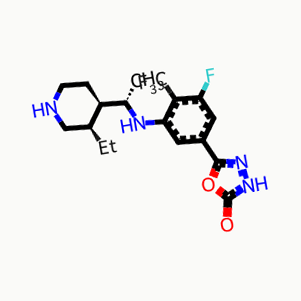 CC[C@H]1CNCC[C@H]1[C@H](C)Nc1cc(-c2n[nH]c(=O)o2)cc(F)c1C(F)(F)F